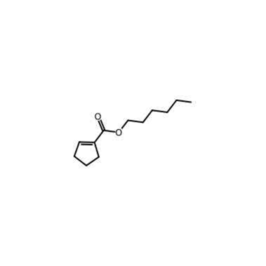 CCCCCCOC(=O)C1=CCCC1